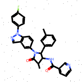 Cc1cccc(C2C(NC(=O)c3cccnc3)C(C)C(=O)N2c2ccc3c(cnn3-c3ccc(F)cc3)c2)c1